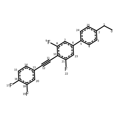 CCc1ccc(-c2cc(F)c(C#Cc3ccc(F)c(F)c3)c(F)c2)cc1